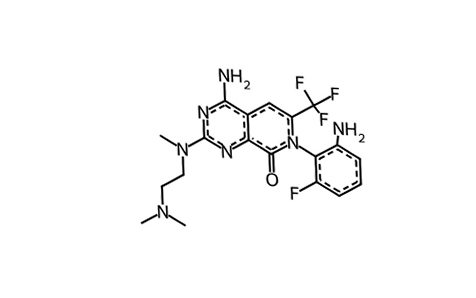 CN(C)CCN(C)c1nc(N)c2cc(C(F)(F)F)n(-c3c(N)cccc3F)c(=O)c2n1